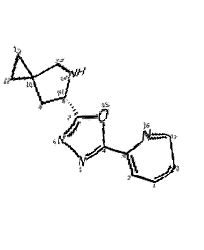 c1ccc(-c2nnc([C@@H]3CC4(CC4)CN3)o2)nc1